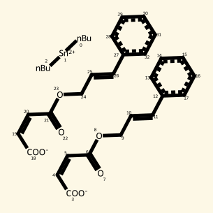 CCC[CH2][Sn+2][CH2]CCC.O=C([O-])/C=C\C(=O)OCC=Cc1ccccc1.O=C([O-])/C=C\C(=O)OCC=Cc1ccccc1